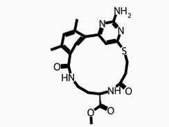 COC(=O)[C@H]1CCNC(=O)c2cc(c(C)cc2C)-c2cc(nc(N)n2)SCCC(=O)N1